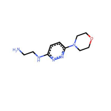 NCCNc1ccc(N2CCOCC2)nn1